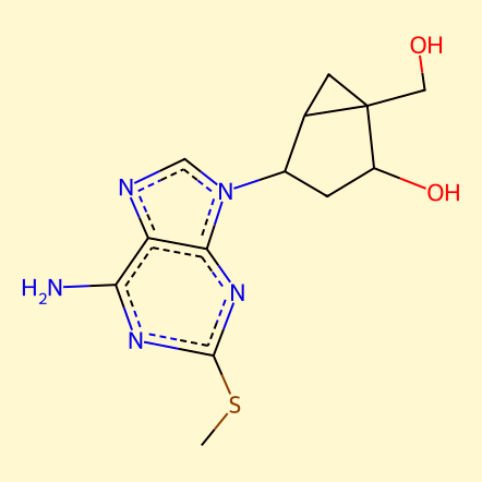 CSc1nc(N)c2ncn(C3CC(O)C4(CO)CC34)c2n1